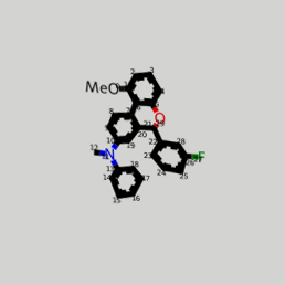 COc1cccc2c1-c1ccc(N(C)c3ccccc3)cc1C(c1cccc(F)c1)O2